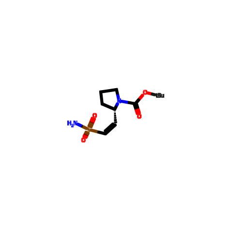 CC(C)(C)OC(=O)N1CCC[C@H]1/C=C\S(N)(=O)=O